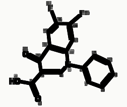 O=C(O)c1cn(-c2ccccc2)c2cc(F)c(F)cc2c1=O